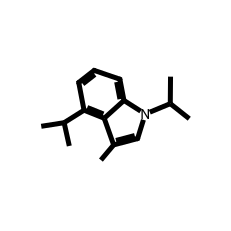 Cc1cn(C(C)C)c2cccc(C(C)C)c12